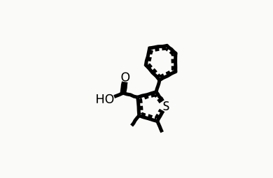 Cc1sc(-c2ccccc2)c(C(=O)O)c1C